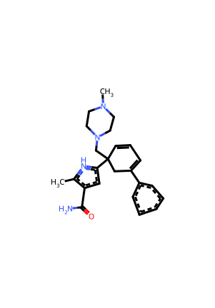 Cc1[nH]c(C2(CN3CCN(C)CC3)C=CC=C(c3ccccc3)C2)cc1C(N)=O